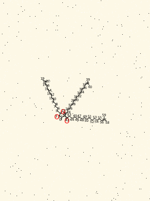 C[C](C(=O)CCCCCCCCCCCCCCC(C)C)C(C(=O)CCCCCCCCCCCCCCC(C)C)C(=O)CCCCCCCCCCCCCCC(C)C